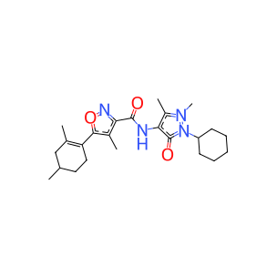 CC1=C(c2onc(C(=O)Nc3c(C)n(C)n(C4CCCCC4)c3=O)c2C)CCC(C)C1